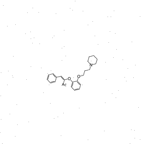 CC(=O)/C(=C\c1ccccc1)Oc1ccccc1OCCCN1CCCCC1